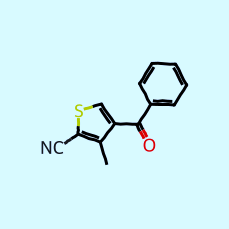 Cc1c(C(=O)c2ccccc2)csc1C#N